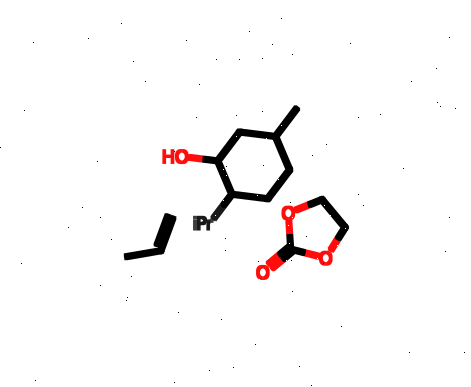 C=CC.CC1CCC(C(C)C)C(O)C1.O=C1OCCO1